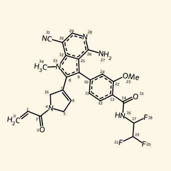 C=CC(=O)N1CC=C(c2c(-c3ccc(C(=O)NC(F)C(F)F)c(OC)c3)c3c(N)ncc(C#N)c3n2C)C1